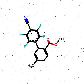 COC(=O)C1=CCC(C)=CC1c1c(F)c(F)c(C#N)c(F)c1F